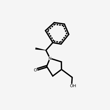 C[C@@H](c1ccccc1)N1CC(CO)CC1=O